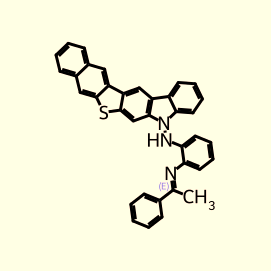 C/C(=N\c1ccccc1Nn1c2ccccc2c2cc3c(cc21)sc1cc2ccccc2cc13)c1ccccc1